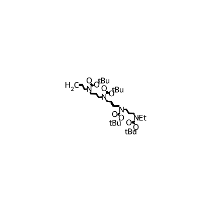 C=CCN(CCCN(CC=CCN(CCCN(CC)C(=O)OC(C)(C)C)C(=O)OC(C)(C)C)C(=O)OC(C)(C)C)C(=O)OC(C)(C)C